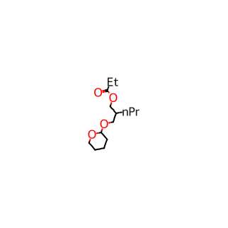 CCCC(COC(=O)CC)COC1CCCCO1